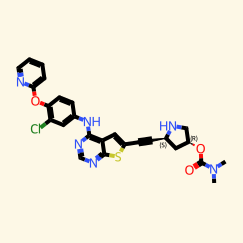 CN(C)C(=O)O[C@H]1CN[C@H](C#Cc2cc3c(Nc4ccc(Oc5ccccn5)c(Cl)c4)ncnc3s2)C1